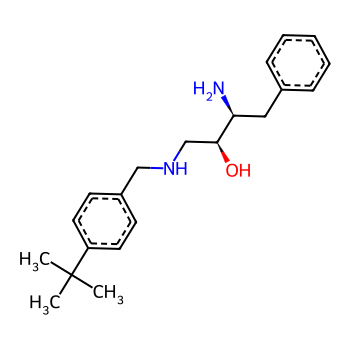 CC(C)(C)c1ccc(CNC[C@H](O)[C@@H](N)Cc2ccccc2)cc1